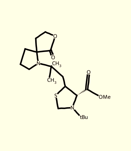 COC(=O)[C@H]1C(CC(C)(C)N2CCCC23CCOC3=O)SCN1C(C)(C)C